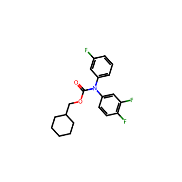 O=C(OCC1CCCCC1)N(c1cccc(F)c1)c1ccc(F)c(F)c1